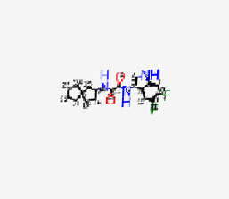 O=C(Nc1c[nH]c2cc(F)c(F)cc12)C(=O)NC1CCC2(CCCC2)C1